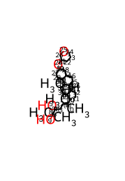 C[C@H](CC[C@@H](O)C(C)(C)O)[C@H]1CC[C@H]2C3=CC=C4C[C@@H](OC5CCCOC5)CC[C@]4(C)[C@H]3CC[C@]12C